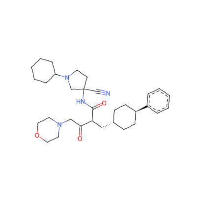 N#CC1(NC(=O)C(C[C@H]2CC[C@H](c3ccccc3)CC2)C(=O)CN2CCOCC2)CCN(C2CCCCC2)C1